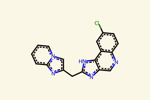 Clc1ccc2ncc3nc(Cc4cn5ccccc5n4)[nH]c3c2c1